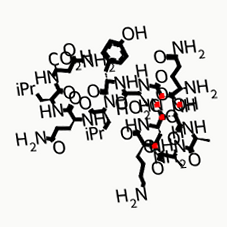 CC(C)C[C@H](NC(=O)[C@H](CCC(N)=O)NC(=O)[C@H](CC(C)C)NC(=O)[C@H](Cc1ccc(O)cc1)NC(=O)[C@H](C)NC(=O)[C@H](CO)NC(=O)[C@H](CC(N)=O)NC(=O)[C@H](CCCCN)NC(=O)[C@H](C)NC(=O)[C@H](C)NC(=O)[C@H](CC(=O)O)NC(=O)[C@@H](N)CCC(N)=O)C(=O)N[C@@H](CC(N)=O)C(=O)O